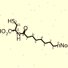 CCCCCCCCCCCCCCCCC(=O)NC(CS)C(=O)O